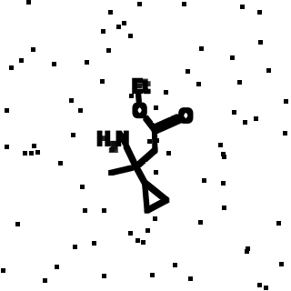 CCOC(=O)CC(C)(N)C1CC1